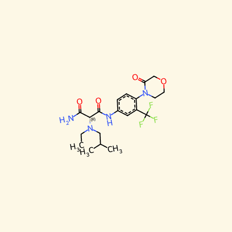 CCN(CC(C)C)[C@H](C(N)=O)C(=O)Nc1ccc(N2CCOCC2=O)c(C(F)(F)F)c1